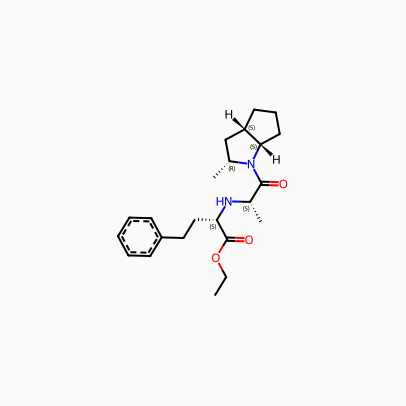 CCOC(=O)[C@H](CCc1ccccc1)N[C@@H](C)C(=O)N1[C@H](C)C[C@@H]2CCC[C@@H]21